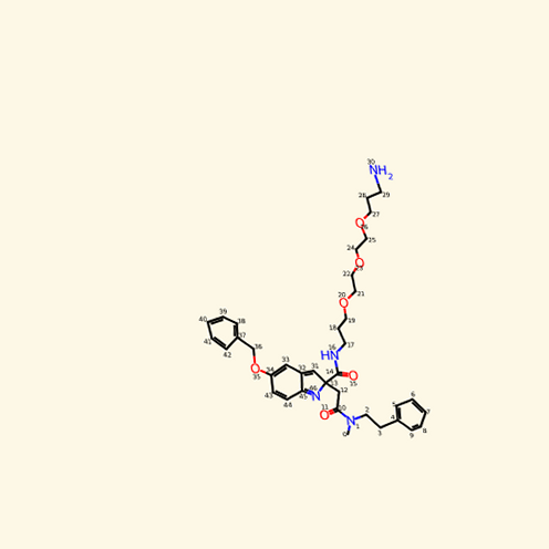 CN(CCc1ccccc1)C(=O)CC1(C(=O)NCCCOCCOCCOCCCN)C=c2cc(OCc3ccccc3)ccc2=N1